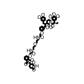 CC[C@H](C(=O)N1CCCC(C(Cc2cccc(OCC(=O)NCCCOCCCNC(=O)COc3cccc4c3C(=O)N(C3CCC(=O)NC3=O)C4=O)c2)Cc2ccc(OC)c(OC)c2)[C@H]1C(=O)O)c1cc(OC)c(OC)c(OC)c1